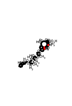 CCC1CC2(C)C=C(C(=O)O)C(C)C3(C2)NC(=O)C(=C(O)C2(C)C(C=CC4C(O[C@@H]5CC[C@H](O[C@H]6C[C@](C)(O)[C@H](O[C@H]7C[C@@H](OC(=O)c8cc9c([nH]8)[nH]c8ccccc89)[C@@H](N)[C@@H](C)O7)[C@@H](C)O6)[C@H](C)O5)CCCC42)CC1O)C3=O